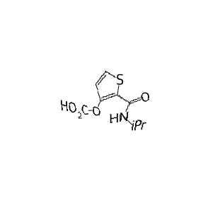 CC(C)NC(=O)c1sccc1OC(=O)O